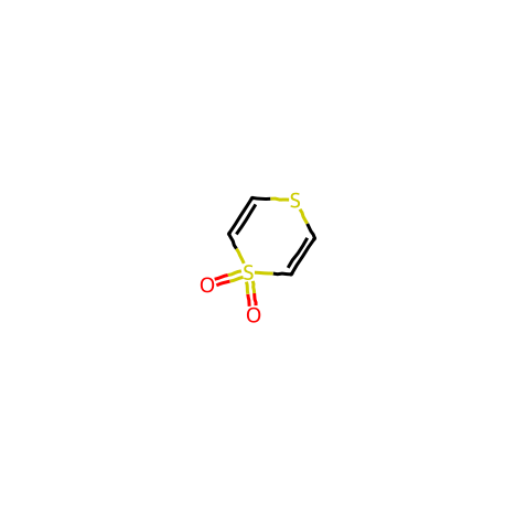 O=S1(=O)C=CSC=C1